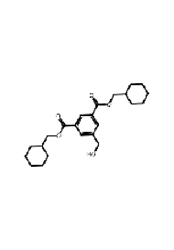 O=C(OCC1CCCCC1)c1cc(CO)cc(C(=O)OCC2CCCCC2)c1